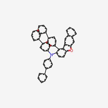 c1ccc(-c2ccc(-c3c(N(c4ccc(-c5ccccc5)cc4)c4ccc(-c5ccccc5)cc4)ccc4oc5cc6ccccc6cc5c34)cc2)cc1